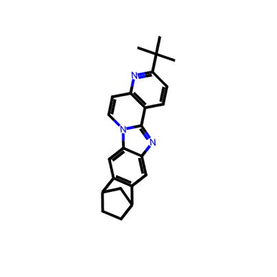 CC(C)(C)c1ccc2c(ccn3c4cc5c(cc4nc23)C2CCC5C2)n1